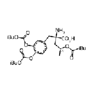 CCC(C)C(=O)O[C@@H](C)CC(N)(Cc1ccc(OC(=O)OCC(C)C)c(OC(=O)OCC(C)C)c1)C(=O)O